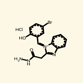 Cl.NNC(=O)CC1=Nc2ccccc2[N+]1=Cc1cc(Br)ccc1O